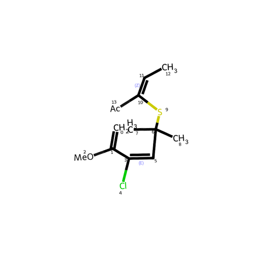 C=C(OC)/C(Cl)=C\C(C)(C)S/C(=C\C)C(C)=O